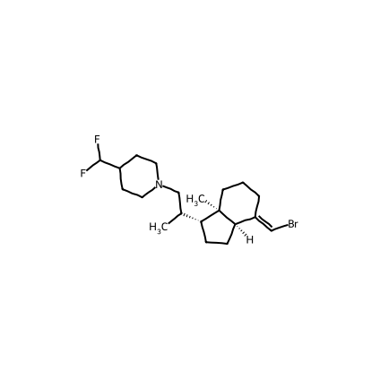 CC(CN1CCC(C(F)F)CC1)[C@H]1CC[C@@H]2/C(=C/Br)CCC[C@@]21C